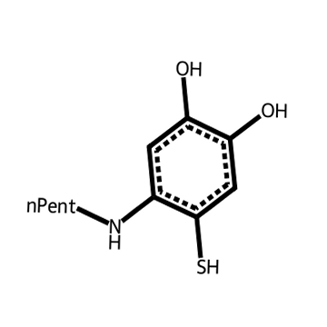 CCCCCNc1cc(O)c(O)cc1S